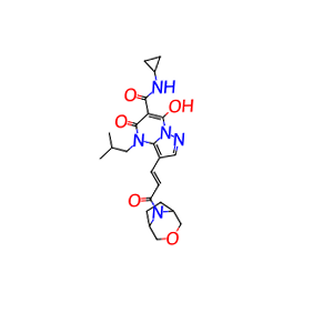 CC(C)Cn1c(=O)c(C(=O)NC2CC2)c(O)n2ncc(C=CC(=O)N3C4CCC3COC4)c12